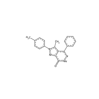 Cc1ccc(-n2nc3c(=O)[nH]nc(-c4ccccc4)c3c2C)cc1